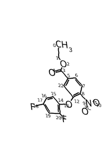 CCOC(=O)c1ccc([N+](=O)[O-])c(Oc2ccc(F)cc2F)c1